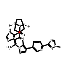 Cn1cnc(-c2ccc(-c3cnn4c(N)cc([C@H]5C[C@H]6CC[C@@H](C5)N6C(=O)c5nnc[nH]5)nc34)cn2)n1